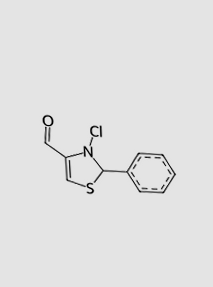 O=CC1=CSC(c2ccccc2)N1Cl